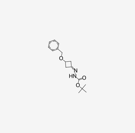 CC(C)(C)OC(=O)NN=C1CC(OCc2ccccc2)C1